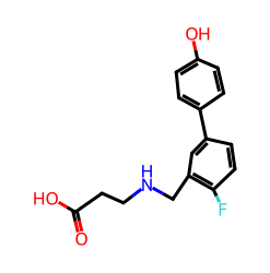 O=C(O)CCNCc1cc(-c2ccc(O)cc2)ccc1F